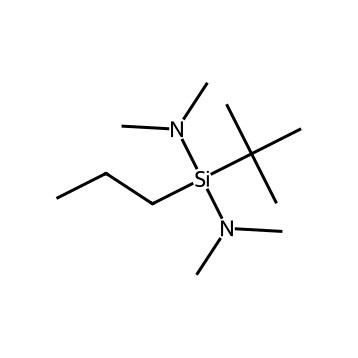 CCC[Si](N(C)C)(N(C)C)C(C)(C)C